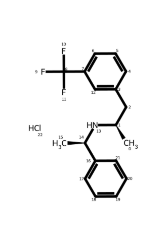 C[C@H](Cc1cccc(C(F)(F)F)c1)N[C@H](C)c1ccccc1.Cl